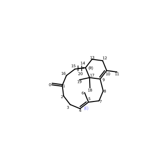 C=C1CC/C=C(\C)CCC2=C(C)CC[C@@H](CC1)C2(C)C